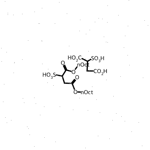 CCCCCCCCOC(=O)CC(C(=O)OCCCCCCCC)S(=O)(=O)O.O=C(O)CC(C(=O)O)S(=O)(=O)O